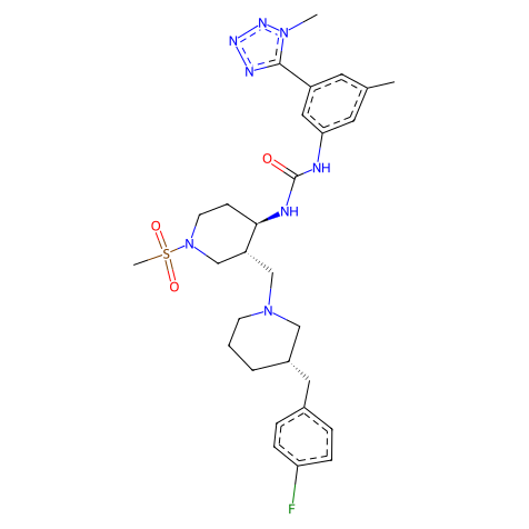 Cc1cc(NC(=O)N[C@@H]2CCN(S(C)(=O)=O)C[C@H]2CN2CCC[C@@H](Cc3ccc(F)cc3)C2)cc(-c2nnnn2C)c1